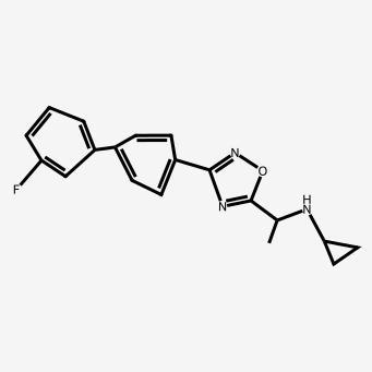 CC(NC1CC1)c1nc(-c2ccc(-c3cccc(F)c3)cc2)no1